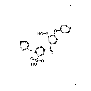 O=C(c1ccc(Oc2ccccc2)c(SO)c1)c1ccc(Oc2ccccc2)c(S(=O)(=O)O)c1